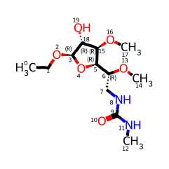 CCO[C@@H]1O[C@H]([C@@H](CNC(=O)NC)OC)[C@H](OC)[C@H]1O